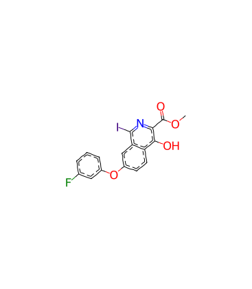 COC(=O)c1nc(I)c2cc(Oc3cccc(F)c3)ccc2c1O